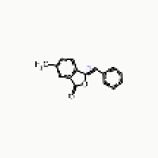 Cc1ccc2c(c1)C(=O)O/C2=C\c1ccccc1